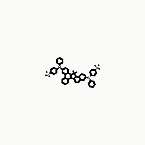 CC1(C)c2c(ccc3cc(N(c4ccccc4)c4ccc([Si](C)(C)C)cc4)ccc23)-c2c1c1ccc(N(c3ccccc3)c3ccc([Si](C)(C)C)cc3)cc1c1ccccc21